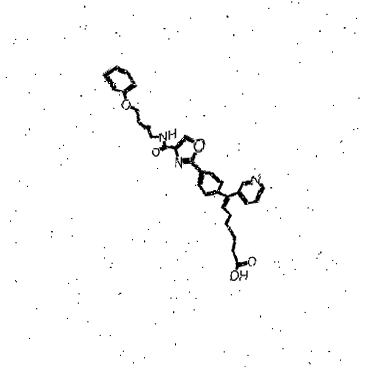 O=C(O)CCCCC=C(c1ccc(-c2nc(C(=O)NCCCCOc3ccccc3)co2)cc1)c1cccnc1